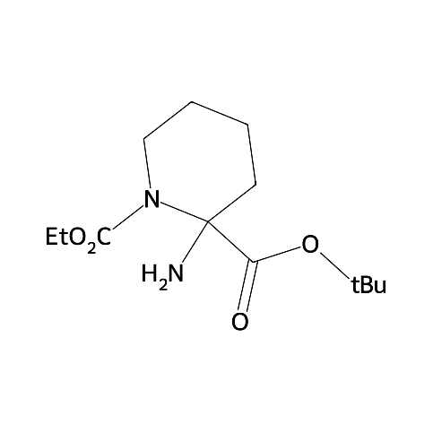 CCOC(=O)N1CCCCC1(N)C(=O)OC(C)(C)C